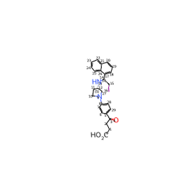 O=C(O)CCC(=O)c1ccc(N2CC[C@H](N[C@H](CI)c3cccc4ccccc34)C2)cc1